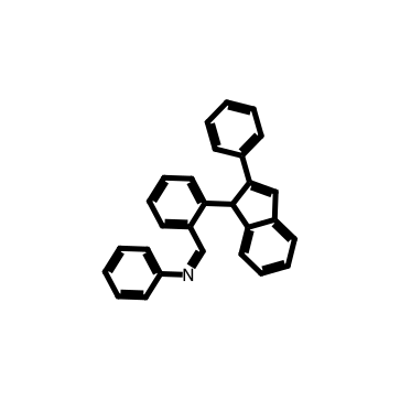 C1=C(c2ccccc2)C(c2ccccc2/C=N\c2ccccc2)c2ccccc21